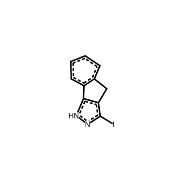 Ic1n[nH]c2c1Cc1ccccc1-2